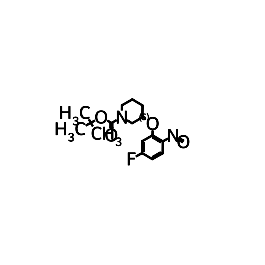 CC(C)(C)OC(=O)N1CCC[C@H](Oc2cc(F)ccc2N=O)C1